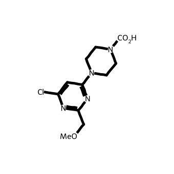 COCc1nc(Cl)cc(N2CCN(C(=O)O)CC2)n1